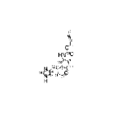 CC#CCOC(=O)Nc1ccc2c(c1)C(Cc1c[nH]cn1)CCO2